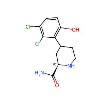 NC(=O)[C@H]1CC(c2c(O)ccc(Cl)c2Cl)CCN1